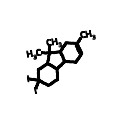 CC1=CCC2C3CCC(I)(I)CC3C(C)(C)C2C1